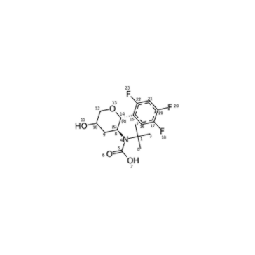 CC(C)(C)N(C(=O)O)[C@H]1CC(O)CO[C@@H]1c1cc(F)c(F)cc1F